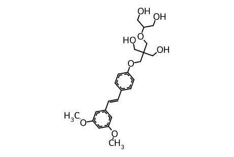 COc1cc(/C=C/c2ccc(OCC(CO)(CO)COC(CO)CO)cc2)cc(OC)c1